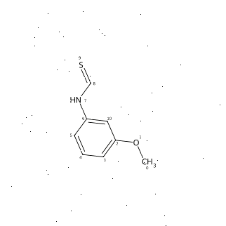 COc1cccc(NC=S)c1